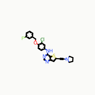 Fc1cccc(COc2ccc(Nc3ncnc4cc(C#CN5CCCC5)sc34)cc2Cl)c1